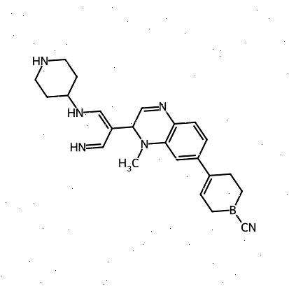 CN1c2cc(C3=CCB(C#N)CC3)ccc2N=CC1/C(C=N)=C/NC1CCNCC1